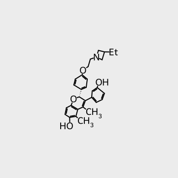 CCC1CN(CCOc2ccc([C@H]3Oc4ccc(O)c(C)c4C(C)=C3c3cccc(O)c3)cc2)C1